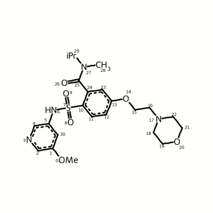 COc1cncc(NS(=O)(=O)c2ccc(OCCN3CCOCC3)cc2C(=O)N(C)C(C)C)c1